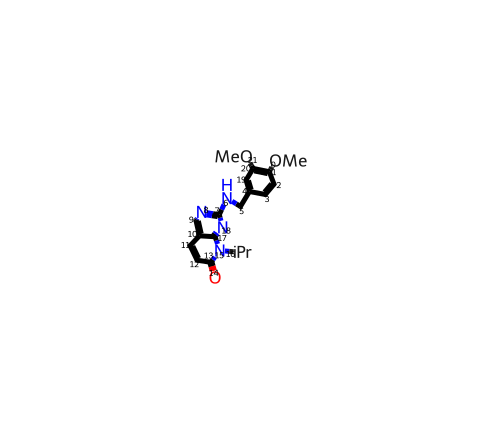 COc1ccc(CNc2ncc3ccc(=O)n(C(C)C)c3n2)cc1OC